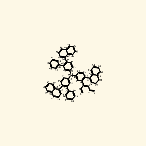 C=C/C=C(\C=C)c1cc(N(c2ccc(-c3cccc4ccccc34)c(-c3ccccc3)c2)c2ccc(-c3cccc4ccccc34)c(-c3ccccc3)c2)ccc1C1=CCCc2ccccc21